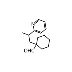 CC(CC1(C=O)CCCCC1)c1ccccn1